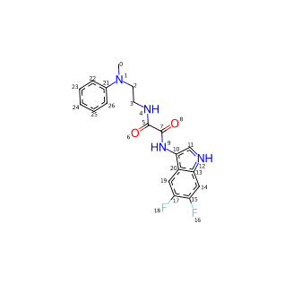 CN(CCNC(=O)C(=O)Nc1c[nH]c2cc(F)c(F)cc12)c1ccccc1